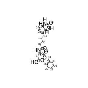 O=C(O)C[C@H](NC(=O)CCCC[C@@H]1SC[C@@H]2NC(=O)N[C@@H]21)C(=O)OCc1ccccc1